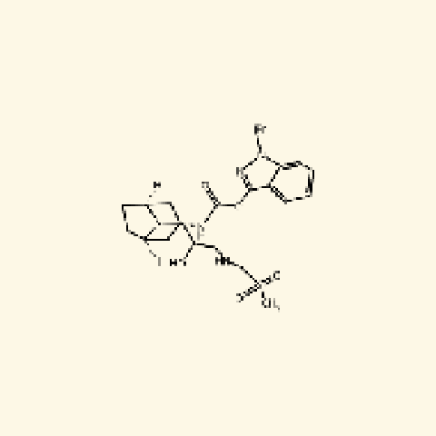 CC(C)n1nc(OC(=O)N[C@@H]2C[C@H]3CC[C@@H](C2)N3CC(O)CNCS(C)(=O)=O)c2ccccc21